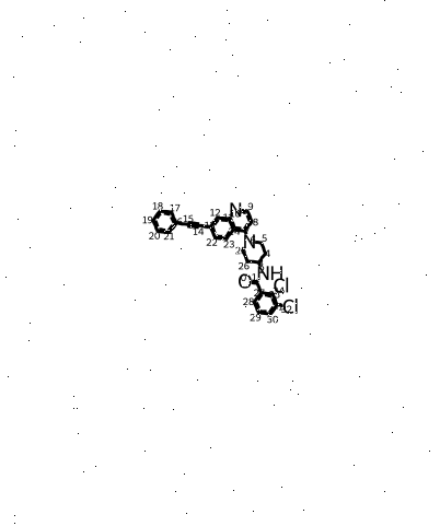 O=C(NC1CCN(c2ccnc3cc(C#Cc4ccccc4)ccc23)CC1)c1cccc(Cl)c1Cl